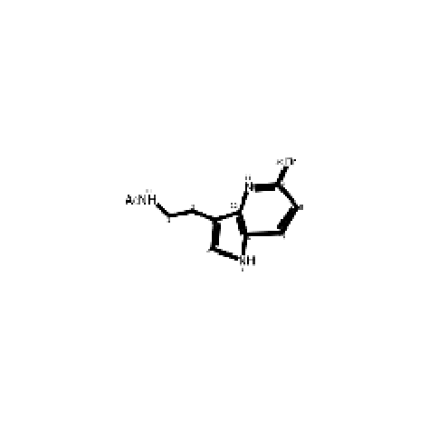 CC(=O)NCCc1c[nH]c2ccc(Br)nc12